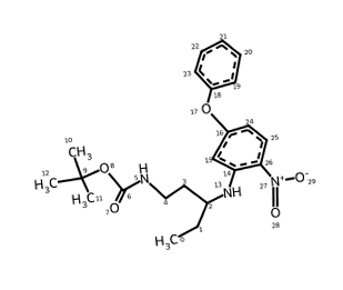 CCC(CCNC(=O)OC(C)(C)C)Nc1cc(Oc2ccccc2)ccc1[N+](=O)[O-]